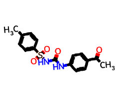 CC(=O)c1ccc(NC(=O)NS(=O)(=O)c2ccc(C)cc2)cc1